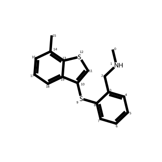 CNCc1ccccc1Sc1csc2c(C)cccc12